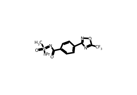 CCCS(C)(=O)=NC(=O)c1ccc(-c2noc(C(F)(F)F)n2)cc1